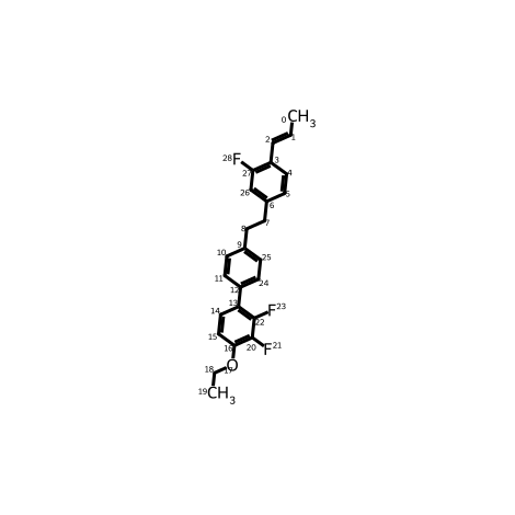 C/C=C/c1ccc(CCc2ccc(-c3ccc(OCC)c(F)c3F)cc2)cc1F